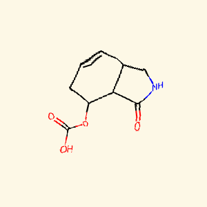 O=C(O)OC1CC=CC2CNC(=O)C21